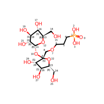 O=P(O)(O)CCCOC[C@@]1(O[C@H]2O[C@H](CO)[C@@H](O)[C@H](O)[C@H]2O)O[C@H](CO)[C@@H](O)[C@@H]1O